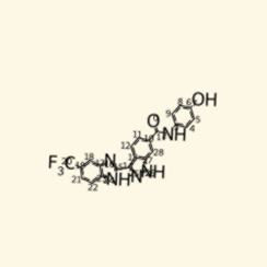 O=C(Nc1ccc(O)cc1)c1ccc2c(-c3nc4cc(C(F)(F)F)ccc4[nH]3)n[nH]c2c1